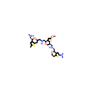 CNC[C@H]1OC(CNCC2OCC(CNCC3OCCc4sc(N(C)C)cc43)c3sc(OC)cc32)Cc2sc(C)cc21